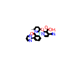 C[C@@H]1CC[C@@H](Oc2nccc(C#N)c2C(=O)O)CN1C(=O)c1c(F)cccc1-c1ncccn1